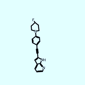 FC1CCN(c2ccc(C#Cc3cc4cccnc4[nH]3)cc2)CC1